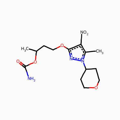 Cc1c([N+](=O)[O-])c(OCCC(C)OC(N)=O)nn1C1CCOCC1